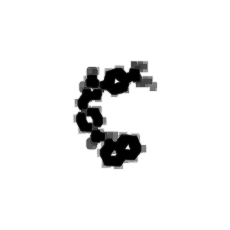 N=C(N)c1ccc(N2CC(CN3CCN(C(=O)Nc4cccc5ccccc45)CC3)OC2=O)cc1